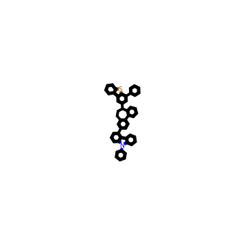 c1ccc(-c2cc(C3CCc4cc(-c5cccc6c5c5ccccc5n6-c5ccccc5)ccc4-c4ccccc43)cc3c2sc2ccccc23)cc1